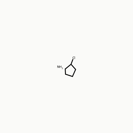 ClC1CCCC1.N